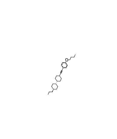 CCCCOc1ccc(C#CC2CCC([C@H]3CC[C@H](CCC)CC3)CC2)cc1